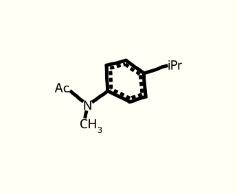 CC(=O)N(C)c1ccc(C(C)C)cc1